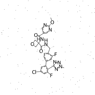 COc1ncc(C(=O)NC2(C(=O)N[C@H](C)c3ccc(-c4cc(Cl)cc(F)c4-c4nnn(C)n4)cc3F)COC2)cn1